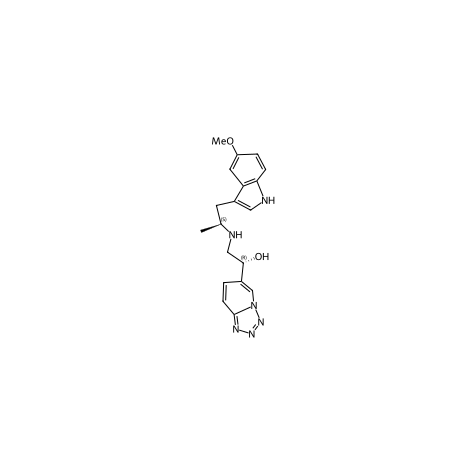 COc1ccc2[nH]cc(C[C@H](C)NC[C@H](O)c3ccc4nnnn4c3)c2c1